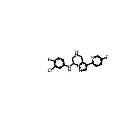 Fc1ccc(-c2cnn3c2CNCC3Nc2ccc(F)c(Cl)c2)nc1